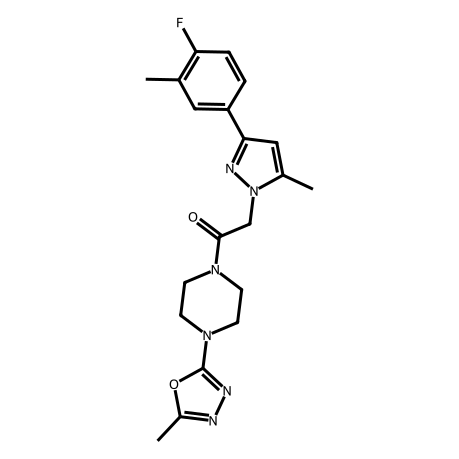 Cc1nnc(N2CCN(C(=O)Cn3nc(-c4ccc(F)c(C)c4)cc3C)CC2)o1